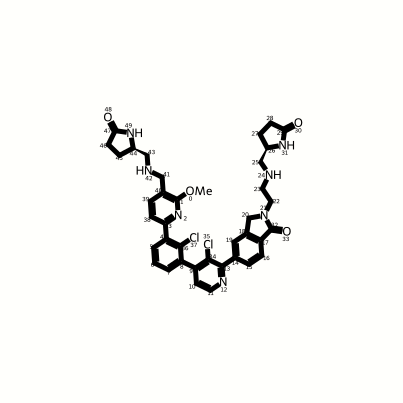 COc1nc(-c2cccc(-c3ccnc(-c4ccc5c(c4)CN(CCNC[C@H]4CCC(=O)N4)C5=O)c3Cl)c2Cl)ccc1CNC[C@H]1CCC(=O)N1